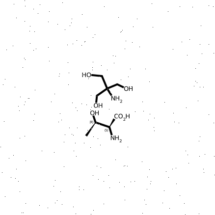 C[C@@H](O)[C@H](N)C(=O)O.NC(CO)(CO)CO